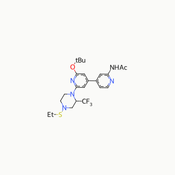 CCSN1CCN(c2cc(-c3ccnc(NC(C)=O)c3)cc(OC(C)(C)C)n2)C(C(F)(F)F)C1